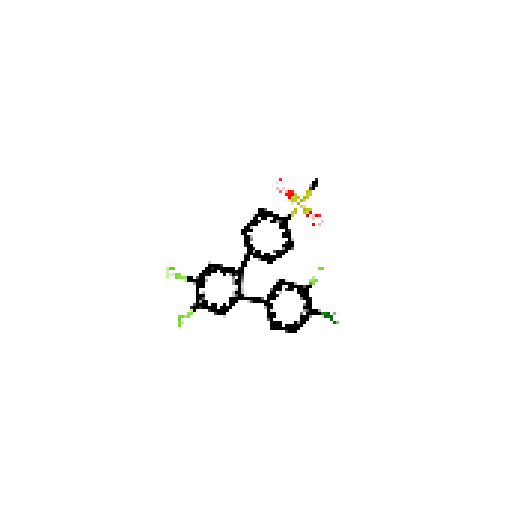 CS(=O)(=O)c1ccc(-c2cc(F)c(F)cc2-c2ccc(Cl)c(F)c2)cc1